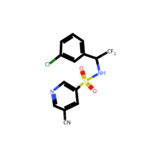 N#Cc1cncc(S(=O)(=O)NC(c2cccc(Cl)c2)C(F)(F)F)c1